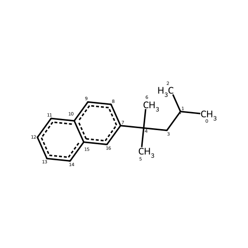 C[C](C)CC(C)(C)c1ccc2ccccc2c1